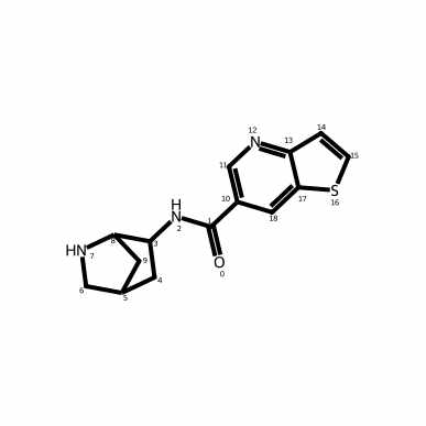 O=C(NC1CC2CNC1C2)c1cnc2ccsc2c1